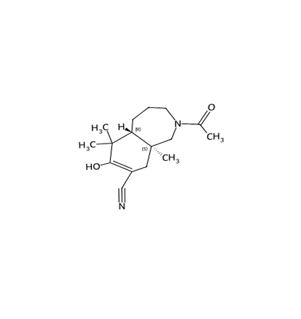 CC(=O)N1CCC[C@H]2C(C)(C)C(O)=C(C#N)C[C@]2(C)C1